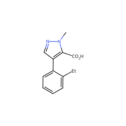 CCc1ccccc1-c1cnn(C)c1C(=O)O